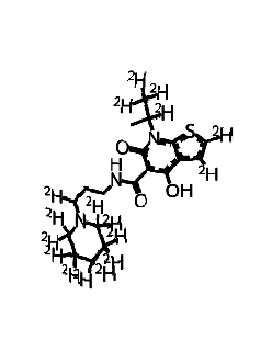 [2H]c1sc2c(c1[2H])c(O)c(C(=O)NCCC([2H])N1C([2H])([2H])C([2H])([2H])C([2H])([2H])C([2H])([2H])C1([2H])[2H])c(=O)n2C([2H])(C)C([2H])([2H])[2H]